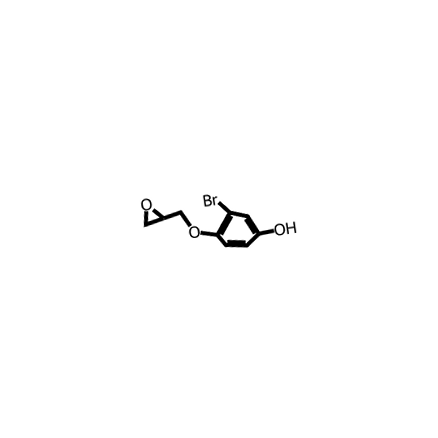 Oc1ccc(OCC2CO2)c(Br)c1